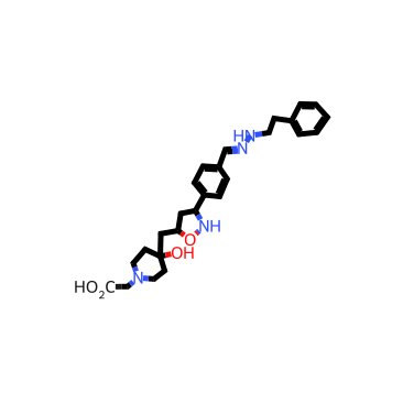 O=C(O)CN1CCC(O)(CC2CC(c3ccc(C=NNCCc4ccccc4)cc3)NO2)CC1